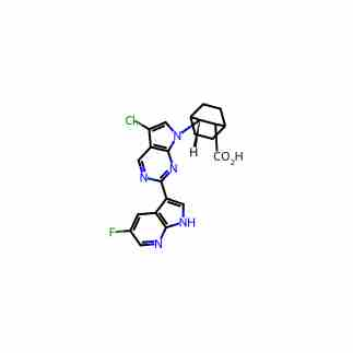 O=C(O)C1C2CCC(CC2)[C@H]1n1cc(Cl)c2cnc(-c3c[nH]c4ncc(F)cc34)nc21